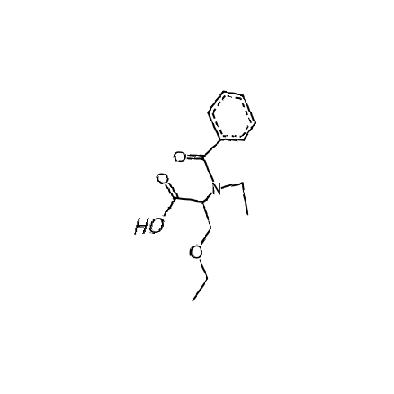 CCOCC(C(=O)O)N(CC)C(=O)c1ccccc1